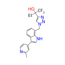 CCC(O)(c1cn(Cc2cccc3c(-c4ccnc(C)c4)c[nH]c23)nn1)C(F)(F)F